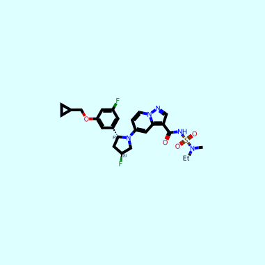 CCN(C)S(=O)(=O)NC(=O)c1cnn2ccc(N3C[C@@H](F)C[C@@H]3c3cc(F)cc(OCC4CC4)c3)cc12